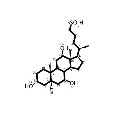 C[C@H](CCCS(=O)(=O)O)[C@H]1CCC2C3C(C[C@@H](O)[C@@]21C)[C@@]1(C)CC[C@@H](O)C[C@H]1C[C@@H]3O